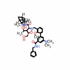 COc1c(CN2O[C@@H](CO)C(C(C)O)[C@H]2C(=O)N[C@H]2C[C@H]3C[C@@H]([C@@H]2C)C3(C)C)cccc1-c1cc(C(=O)NCc2ccccc2)cc(N(C)C)c1